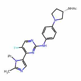 CC(=O)N[C@H]1CCN(c2ccc(Nc3ncc(F)c(-c4cnc(C)n4C(C)C)n3)cc2)C1